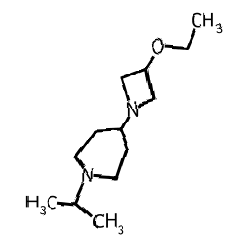 CCOC1CN(C2CCN(C(C)C)CC2)C1